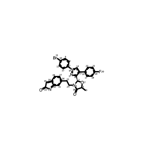 CC1O[C@H](c2nn(-c3ccc(Br)cc3)cc2-c2ccc(F)cc2)N(CCc2ccc3c(c2)=NC(=O)C=3)C1=O